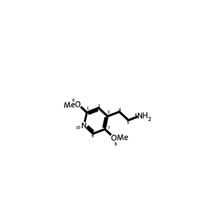 COc1cc(CCN)c(OC)cn1